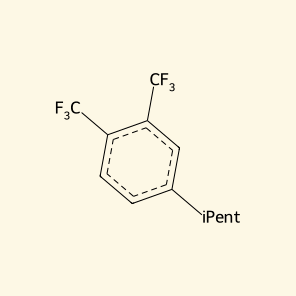 CCCC(C)c1ccc(C(F)(F)F)c(C(F)(F)F)c1